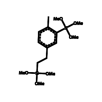 CO[Si](CCc1ccc(C)c([Si](OC)(OC)OC)c1)(OC)OC